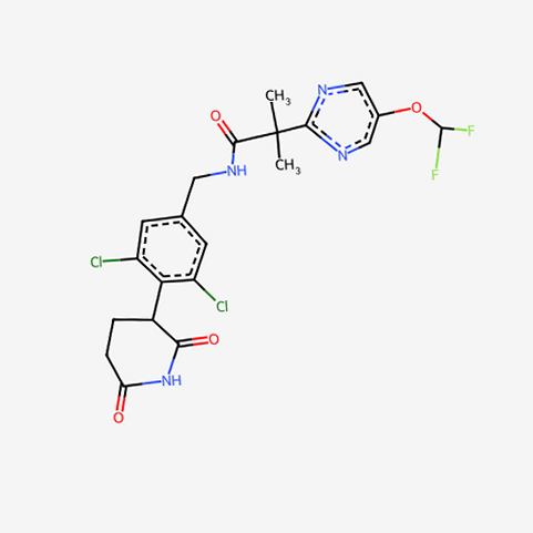 CC(C)(C(=O)NCc1cc(Cl)c(C2CCC(=O)NC2=O)c(Cl)c1)c1ncc(OC(F)F)cn1